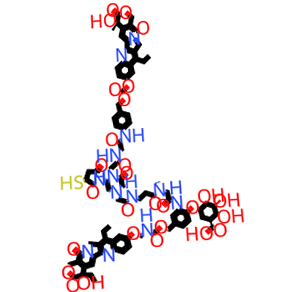 CCc1c2c(nc3ccc(OCNC(=O)OCc4ccc(O[C@@H]5C[C@H](C(=O)O)[C@@H](O)[C@H](O)[C@H]5O)c(NC(=O)CN(C)C(=O)CCNC(=O)CN(CCN5C(=O)CC(S)C5=O)CC(=O)NCC(=O)NCC(=O)Nc5ccc(COC(=O)Oc6ccc7nc8c(c(CC)c7c6)Cn6c-8cc7c(c6=O)COC(=O)[C@@]7(C)O)cc5)c4)cc13)-c1cc3c(c(=O)n1C2)COC(=O)[C@]3(O)CC